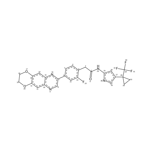 O=C(Cc1ccc(-c2cnc3cc4c(cc3n2)OCCO4)cc1F)Nc1cc(C2(C(F)(F)F)CC2)on1